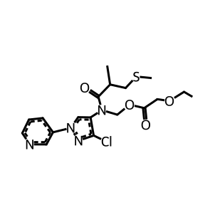 CCOCC(=O)OCN(C(=O)C(C)CSC)c1cn(-c2cccnc2)nc1Cl